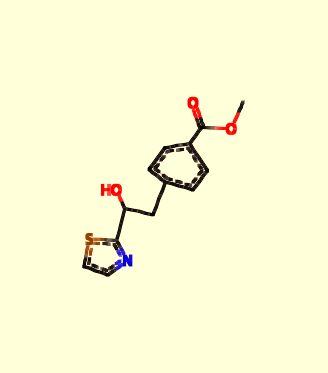 COC(=O)c1ccc(CC(O)c2nccs2)cc1